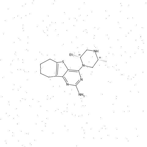 CC[C@@H]1CN[C@H](C)CN1c1nc(N)nc2c3c(sc12)CCCC3